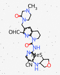 CSC1COCC1Nc1cc(NC(=O)N2CCCc3cc(CN4CCN(C)CC4=O)c(C=O)nc32)ncc1C#N